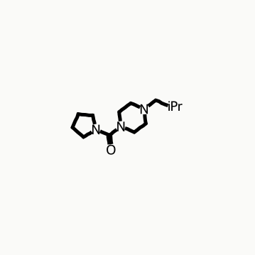 CC(C)CN1CCN(C(=O)N2CCCC2)CC1